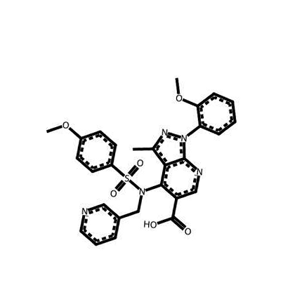 COc1ccc(S(=O)(=O)N(Cc2cccnc2)c2c(C(=O)O)cnc3c2c(C)nn3-c2ccccc2OC)cc1